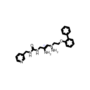 N/C(=C\N(N)CCOc1ccccc1-c1ccccc1)CNC(=O)NCc1cccnc1